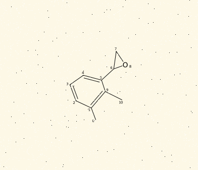 Cc1cccc(C2CO2)c1C